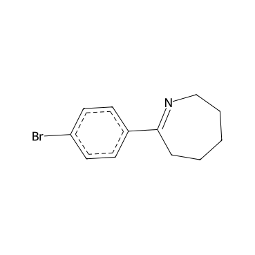 Brc1ccc(C2=NCCCCC2)cc1